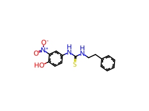 O=[N+]([O-])c1cc(NC(=S)NCCc2ccccc2)ccc1O